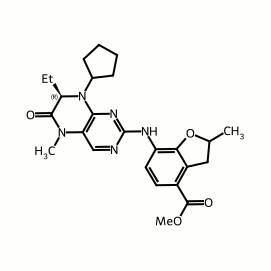 CC[C@@H]1C(=O)N(C)c2cnc(Nc3ccc(C(=O)OC)c4c3OC(C)C4)nc2N1C1CCCC1